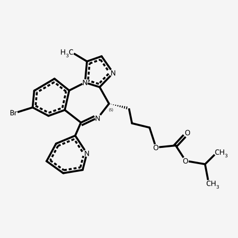 Cc1cnc2n1-c1ccc(Br)cc1C(c1ccccn1)=N[C@H]2CCCOC(=O)OC(C)C